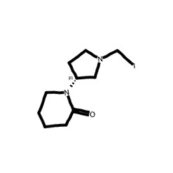 O=C1CCCCN1[C@@H]1CCN(CI)C1